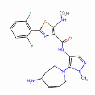 Cn1ncc(NC(=O)c2nc(-c3c(F)cccc3F)sc2NC(=O)O)c1N1CCCC(N)CC1